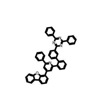 c1ccc(-c2cc(-c3cccc4c3oc3ccccc34)cc(-c3ccccc3-c3cccc(-c4nc(-c5ccccc5)nc(-c5ccccc5)n4)c3)n2)cc1